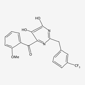 COc1ccccc1C(=O)c1nc(Cc2cccc(C(F)(F)F)c2)nc(O)c1O